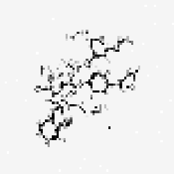 CCCCS(=O)(=O)N(C(=O)[C@H](Cc1ccc(-c2ccno2)cc1)N(C)C(=O)c1cc(OC)cc(OC)c1)[C@@H](Cc1c[nH]c2ccccc12)C(N)=O